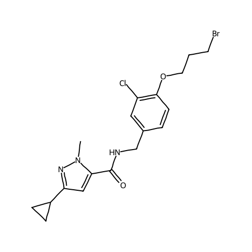 Cn1nc(C2CC2)cc1C(=O)NCc1ccc(OCCCBr)c(Cl)c1